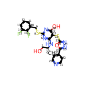 C[C@H](CO)Nc1nc(SCc2cccc(F)c2F)nc(O)c1Sc1nnc(-c2ccncc2)o1